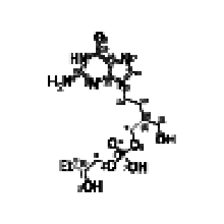 CC[C@@H](O)COP(=O)(O)OC[C@@H](CO)CCn1cnc2c(=O)[nH]c(N)nc21